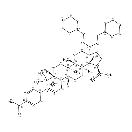 C=C(C)[C@@H]1CC[C@]2(N(CCN3CCOCC3)CCN3CCOCC3)CC[C@]3(C)[C@H](CC[C@@H]4[C@@]5(C)CC=C(c6ccc(C(=O)O)cc6)C(C)(C)[C@@H]5CC[C@]43C)[C@@H]12